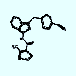 Cc1nocc1C(=O)Nc1nn(Cc2ccc(C#N)cc2)c2ccccc12